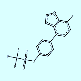 Cc1ccc(-c2ccc(OS(=O)(=O)C(F)(F)F)cc2)c2ccoc12